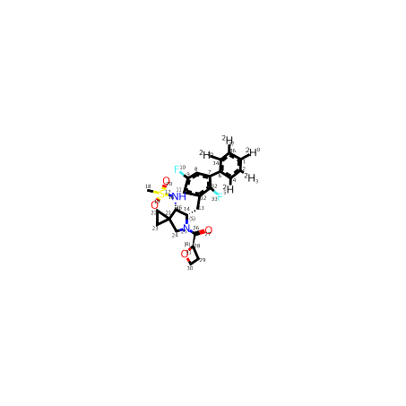 [2H]c1c([2H])c([2H])c(-c2cc(F)cc(C[C@H]3[C@@H](NS(C)(=O)=O)C4(CC4)CN3C(=O)[C@H]3CCO3)c2F)c([2H])c1[2H]